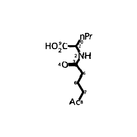 CCCC(NC(=O)CCCC(C)=O)C(=O)O